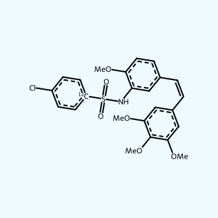 COc1ccc(/C=C\c2cc(OC)c(OC)c(OC)c2)cc1NS(=O)(=O)[12c]1ccc(Cl)cc1